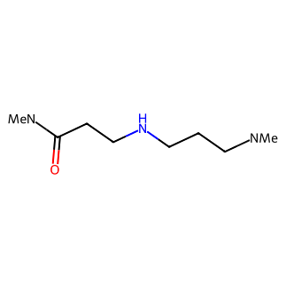 CNCCCNCCC(=O)NC